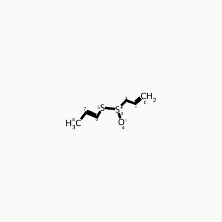 C=CC[S+]([O-])S/C=C/C